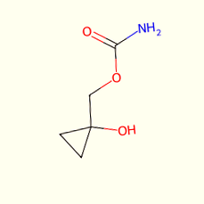 NC(=O)OCC1(O)CC1